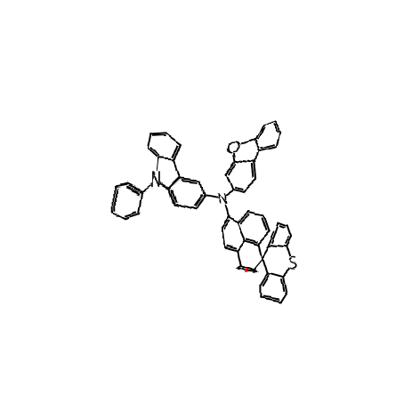 c1ccc(-n2c3ccccc3c3cc(N(c4ccc5c(c4)oc4ccccc45)c4ccc5c6c(cccc46)C4(c6ccccc6Sc6ccccc64)c4ccccc4-5)ccc32)cc1